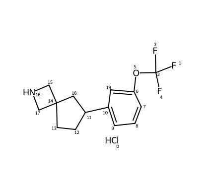 Cl.FC(F)(F)Oc1cccc(C2CCC3(CNC3)C2)c1